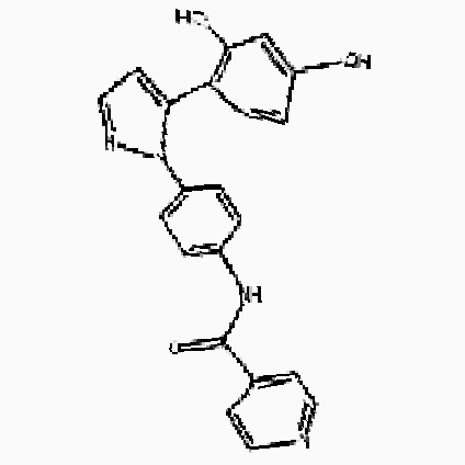 O=C(Nc1ccc(-n2nccc2-c2ccc(O)cc2O)cc1)c1ccncc1